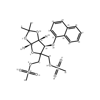 CC1(C)O[C@H]2OC(COS(C)(=O)=O)(COS(C)(=O)=O)[C@H](Oc3cccc4ccccc34)[C@H]2O1